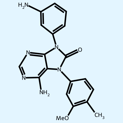 COc1cc(-n2c(=O)n(-c3cccc(N)c3)c3ncnc(N)c32)ccc1C